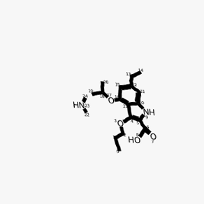 CCCOc1c(C(=O)O)[nH]c2cc(CC)cc(OC(C)C)c12.CNC